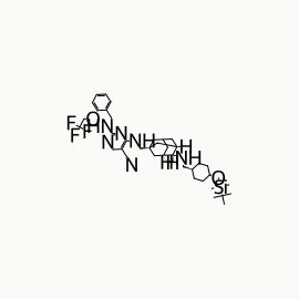 CC(C)(C)[Si](C)(C)O[C@H]1CC[C@@H](CN[C@@H]2[C@@H]3CC4C[C@H]2C[C@@](CNc2nc(NCc5ccccc5OCC(F)(F)F)ncc2C#N)(C4)C3)CC1